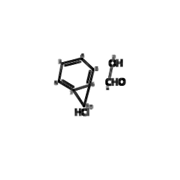 Cl.O=CO.c1ccc2c(c1)C2